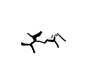 C=C(C)C(C/C=C(\C)BC)C(C)C